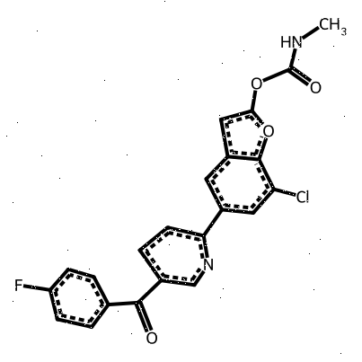 CNC(=O)Oc1cc2cc(-c3ccc(C(=O)c4ccc(F)cc4)cn3)cc(Cl)c2o1